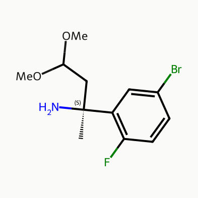 COC(C[C@](C)(N)c1cc(Br)ccc1F)OC